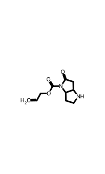 C=CCOC(=O)N1C(=O)CC2NCCC21